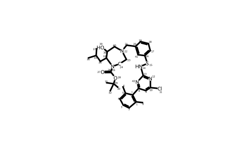 Cc1cccc(C)c1-c1cc(Cl)nc(NSc2cccc(CN3CCN(C(=O)OC(C)(C)C)C(CC(C)C)C(O)C3)c2)n1